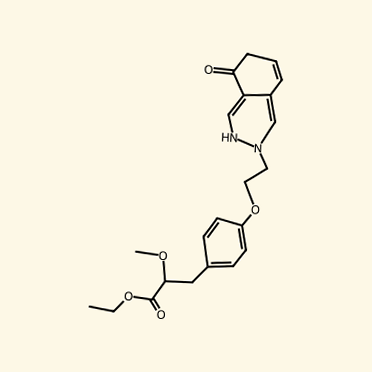 CCOC(=O)C(Cc1ccc(OCCN2C=C3C=CCC(=O)C3=CN2)cc1)OC